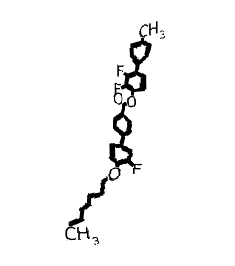 CCCCCCCCOc1ccc(-c2ccc(C(=O)Oc3ccc(-c4ccc(C)cc4)c(F)c3F)cc2)cc1F